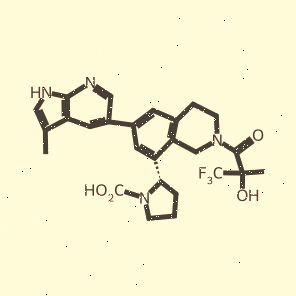 Cc1c[nH]c2ncc(-c3cc4c(c([C@@H]5CCCN5C(=O)O)c3)CN(C(=O)C(C)(O)C(F)(F)F)CC4)cc12